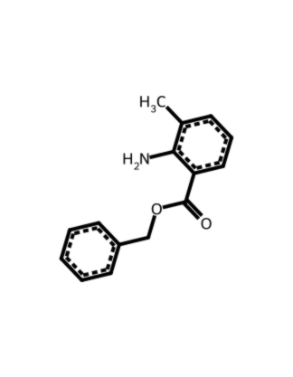 Cc1cccc(C(=O)OCc2ccccc2)c1N